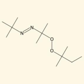 CCC(C)(C)OOC(C)(C)N=NC(C)(C)C